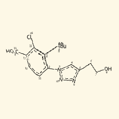 CC(C)(C)c1c(-n2cc(CCO)nn2)ccc(C(=O)O)c1Cl